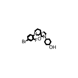 O=C1N([C@H]2CC[C@@H](O)CC2)CC[C@]12CCCN(c1ccc(Br)cc1F)C2